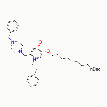 CCCCCCCCCCCCCCCCCCOc1cn(CCc2ccccc2)c(CN2CCN(Cc3ccccc3)CC2)cc1=O